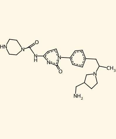 CC(Cc1ccc(-n2ccc(NC(=O)N3CCNCC3)nc2=O)cc1)N1CCC(CN)C1